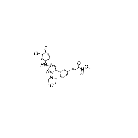 CONC(=O)/C=C/c1cccc(-c2cnc(Nc3ccc(F)c(Cl)c3)nc2N2CCOCC2)c1